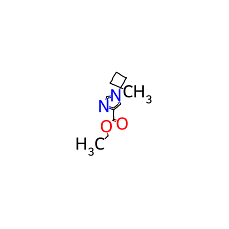 CCOC(=O)c1cn(C2(C)CCC2)cn1